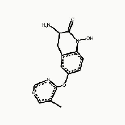 Cc1cncnc1Oc1ccc2c(c1)CC(N)C(=O)N2O